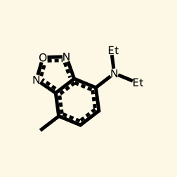 CCN(CC)c1ccc(C)c2nonc12